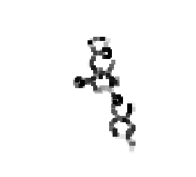 Cc1nc(OCc2ccc(F)cc2F)cc(=O)n1CC1CCCO1